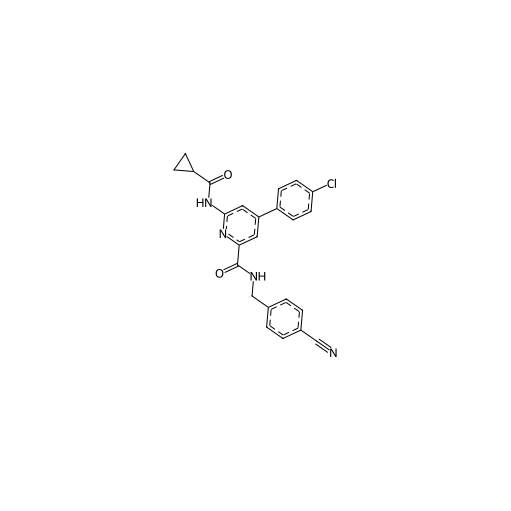 N#Cc1ccc(CNC(=O)c2cc(-c3ccc(Cl)cc3)cc(NC(=O)C3CC3)n2)cc1